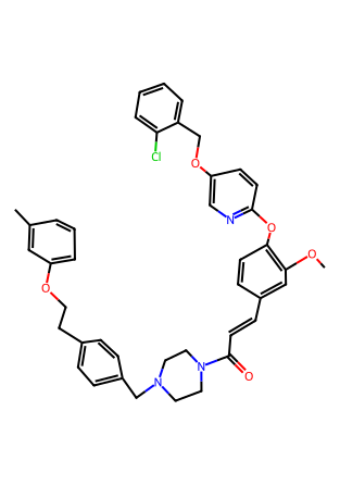 COc1cc(C=CC(=O)N2CCN(Cc3ccc(CCOc4cccc(C)c4)cc3)CC2)ccc1Oc1ccc(OCc2ccccc2Cl)cn1